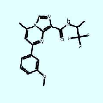 COc1cccc(-c2cc(C)n3cnc(C(=O)NC(C)C(F)(F)F)c3n2)c1